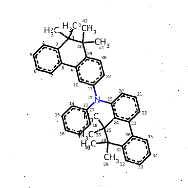 CC1(C)c2ccccc2-c2cc(N(c3ccccc3)c3cccc4c3C(C)(C)C(C)(C)c3ccccc3-4)ccc2C1(C)C